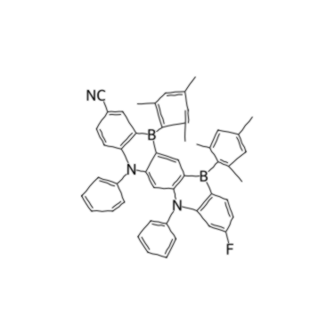 Cc1cc(C)c(B2c3cc(C#N)ccc3N(c3ccccc3)c3cc4c(cc32)B(c2c(C)cc(C)cc2C)c2ccc(F)cc2N4c2ccccc2)c(C)c1